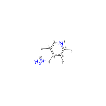 Cc1cnc(C)c(C)c1CN